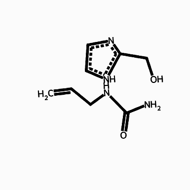 C=CCNC(N)=O.OCc1ncc[nH]1